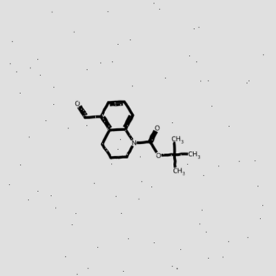 CC(C)(C)OC(=O)N1CCCc2c(C=O)cccc21